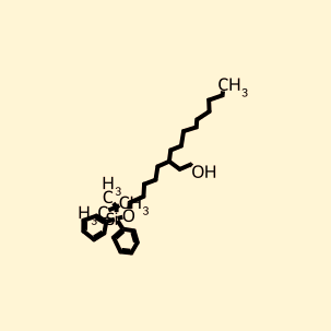 CCCCCCCCCC(CCO)CCCCCO[Si](c1ccccc1)(c1ccccc1)C(C)(C)C